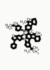 CC(C)(C)c1ccc(Nc2cc3c(cc2-c2c4c(c5c6cc(C(C)(C)C)ccc6n6c5c2Bc2cc5occ(-c7ccccc7)c5cc2-6)-c2ccccc2C4(C)C)-c2ccccc2C3(C)C)cc1